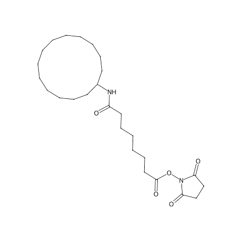 O=C(CCCCCCC(=O)ON1C(=O)CCC1=O)NC1CCCCCCCCCCCCC1